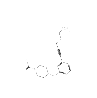 NCCCC#Cc1cccc(OC2CCN(C(=O)O)CC2)c1